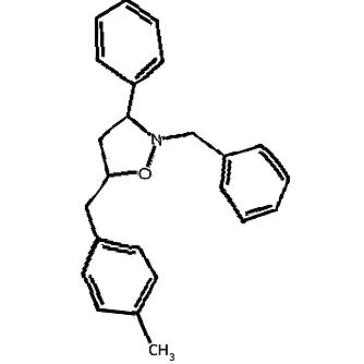 Cc1ccc(CC2CC(c3ccccc3)N(Cc3ccccc3)O2)cc1